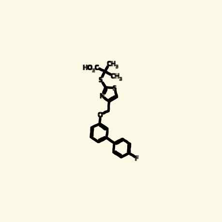 CC(C)(Sc1nc(COc2cccc(-c3ccc(F)cc3)c2)cs1)C(=O)O